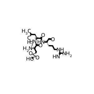 CC(C)C[C@H](NC(=O)[C@@H](N)CS(=O)(=O)O)C(=O)N[C@H](C=O)CCCNC(=N)N